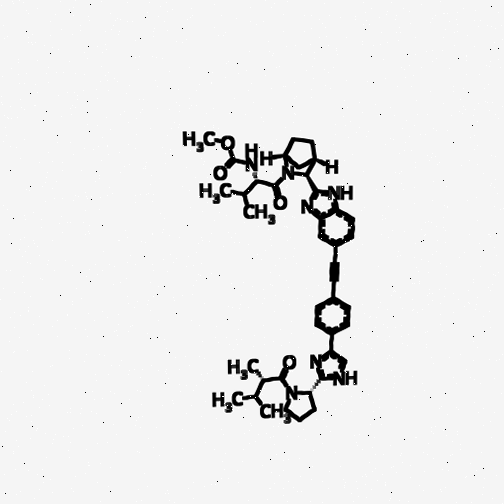 COC(=O)N[C@H](C(=O)N1[C@@H]2CC[C@@H](C2)[C@H]1c1nc2cc(C#Cc3ccc(-c4c[nH]c([C@@H]5CCCN5C(=O)[C@@H](C)C(C)C)n4)cc3)ccc2[nH]1)C(C)C